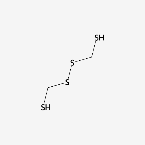 SCSSCS